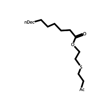 CCCCCCCCCCCCCCCC(=O)OCCSCCC(C)=O